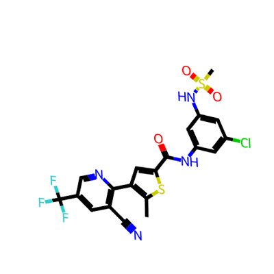 Cc1sc(C(=O)Nc2cc(Cl)cc(NS(C)(=O)=O)c2)cc1-c1ncc(C(F)(F)F)cc1C#N